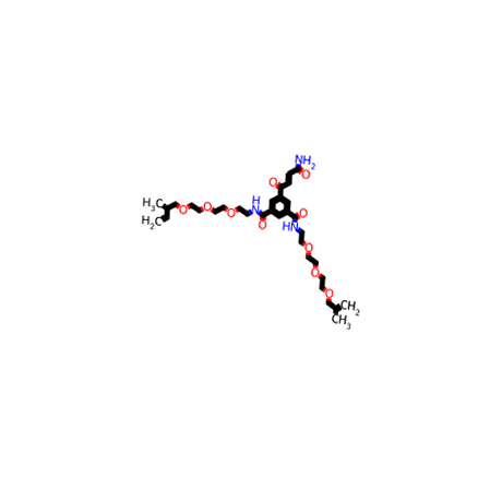 C=CC(C)COCCOCCOCCNC(=O)c1cc(C(=O)/C=C/C(N)=O)cc(C(=O)NCCOCCOCCOCC(=C)C)c1